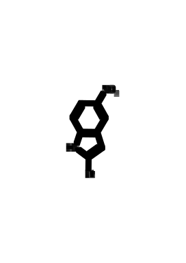 [CH2]Cc1cc2cc([N+](=O)[O-])ccc2[nH]1